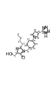 CCCCc1nc(CO)c(Cl)n1Cc1ccc(-n2ccc(-c3nnn[nH]3)c2)cc1